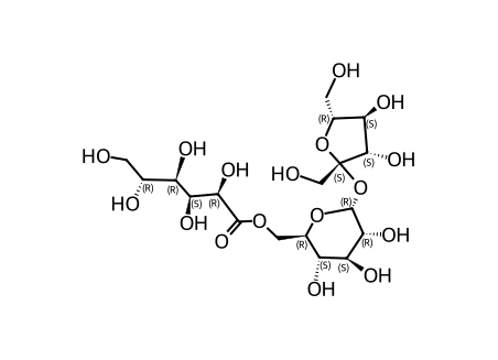 O=C(OC[C@H]1O[C@H](O[C@]2(CO)O[C@H](CO)[C@@H](O)[C@@H]2O)[C@H](O)[C@@H](O)[C@@H]1O)[C@H](O)[C@@H](O)[C@H](O)[C@H](O)CO